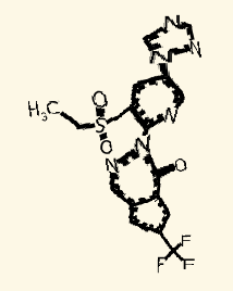 CCS(=O)(=O)c1cc(-n2cncn2)cnc1-n1ncc2ccc(C(F)(F)F)cc2c1=O